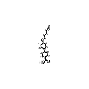 COCCCCOc1ccc(-c2ccc(C(=O)O)cc2)cc1